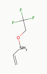 C=C[SiH2]OCC(F)(F)F